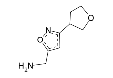 NCc1cc(C2CCOC2)no1